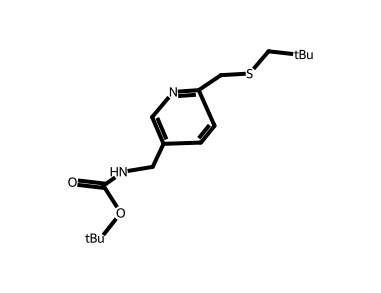 CC(C)(C)CSCc1ccc(CNC(=O)OC(C)(C)C)cn1